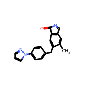 Cc1cc2c(cc1Cc1ccc(-n3cccn3)cc1)C(=O)N=C2